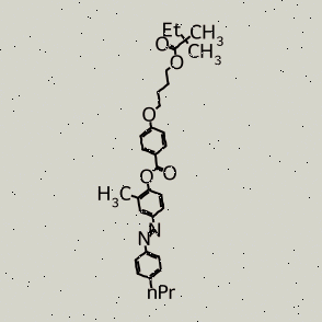 CCCc1ccc(N=Nc2ccc(OC(=O)c3ccc(OCCCCOC(=O)C(C)(C)CC)cc3)c(C)c2)cc1